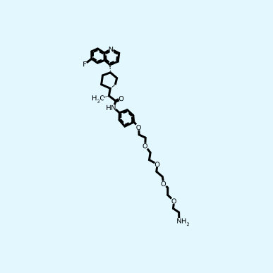 C[C@@H](C(=O)Nc1ccc(OCCOCCOCCOCCOCCN)cc1)[C@H]1CC[C@@H](c2ccnc3ccc(F)cc32)CC1